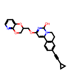 OC1N=C(OCC2COc3ncccc3O2)C=C2c3ccc(C#CC4CC4)cc3CCN21